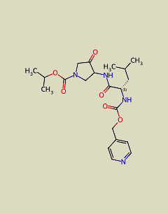 CC(C)C[C@H](NC(=O)OCc1ccncc1)C(=O)NC1CN(C(=O)OC(C)C)CC1=O